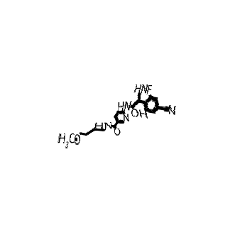 COCCCCNC(=O)c1ccc(N/C(O)=C(\C=N)c2ccc(C#N)cc2F)nc1